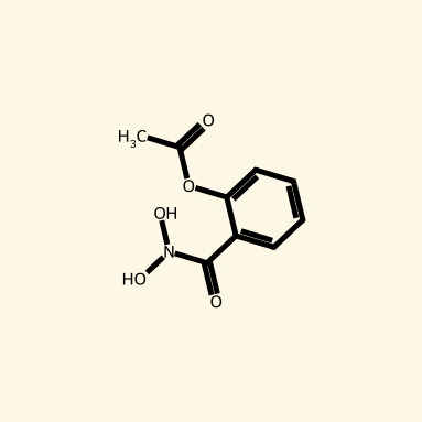 CC(=O)Oc1ccccc1C(=O)N(O)O